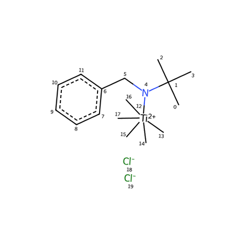 CC(C)(C)[N](Cc1ccccc1)[Ti+2]([CH3])([CH3])([CH3])([CH3])[CH3].[Cl-].[Cl-]